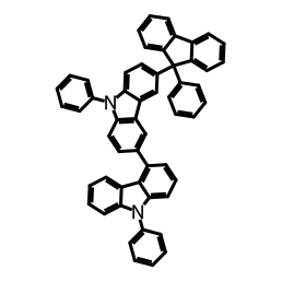 c1ccc(-n2c3ccc(-c4cccc5c4c4ccccc4n5-c4ccccc4)cc3c3cc(C4(c5ccccc5)c5ccccc5-c5ccccc54)ccc32)cc1